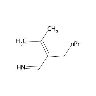 CCCCC(C=N)=C(C)C